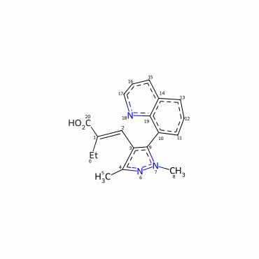 CC/C(=C\c1c(C)nn(C)c1-c1cccc2cccnc12)C(=O)O